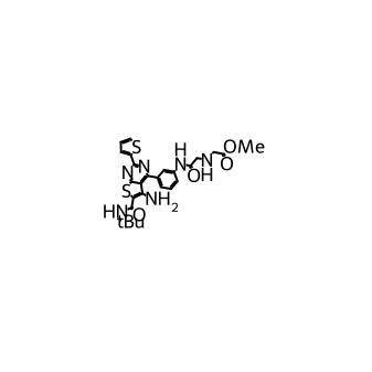 COC(=O)CNCC(=O)Nc1cccc(-c2nc(-c3cccs3)nc3sc(C(=O)NC(C)(C)C)c(N)c23)c1